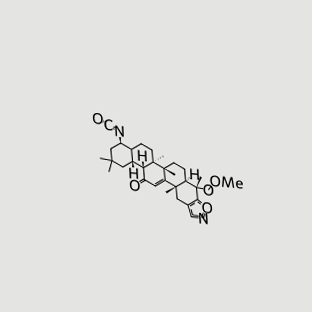 COO[C@]1(C)c2oncc2C[C@]2(C)C3=CC(=O)[C@@H]4[C@@H]5CC(C)(C)C[C@@H](N=C=O)C5CC[C@@]4(C)[C@]3(C)CC[C@H]21